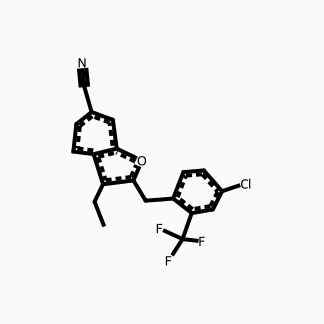 CCc1c(Cc2ccc(Cl)cc2C(F)(F)F)oc2cc(C#N)ccc12